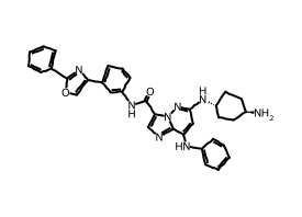 N[C@H]1CC[C@H](Nc2cc(Nc3ccccc3)c3ncc(C(=O)Nc4cccc(-c5coc(-c6ccccc6)n5)c4)n3n2)CC1